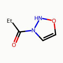 CCC(=O)N1C=CON1